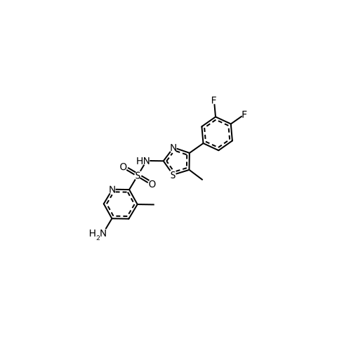 Cc1cc(N)cnc1S(=O)(=O)Nc1nc(-c2ccc(F)c(F)c2)c(C)s1